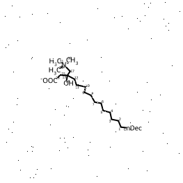 CCCCCCCCCCCCCCCCCCCCCCC(O)(CC(=O)[O-])C[N+](C)(C)C